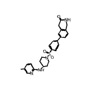 Cc1ccc(NC2CCN(S(=O)(=O)c3ccc(-c4ccc5c(c4)CC(=O)NC5)cc3)CC2)nc1